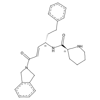 O=C(N[C@H](C=CC(=O)N1Cc2ccccc2C1)CCc1ccccc1)[C@@H]1CCCCN1